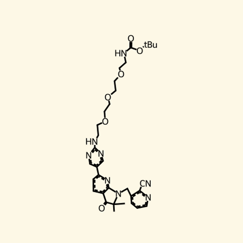 CC(C)(C)OC(=O)NCCOCCOCCOCCNc1ncc(-c2ccc3c(n2)N(Cc2cccnc2C#N)C(C)(C)C3=O)cn1